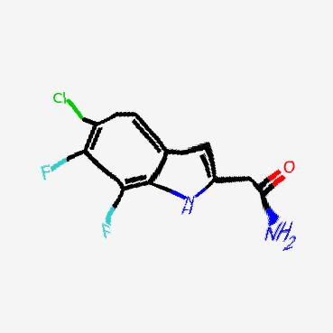 NC(=O)c1cc2cc(Cl)c(F)c(F)c2[nH]1